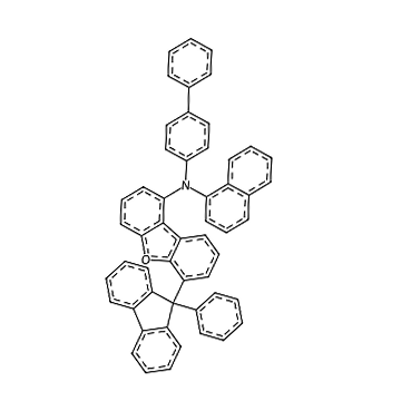 c1ccc(-c2ccc(N(c3cccc4ccccc34)c3cccc4oc5c(C6(c7ccccc7)c7ccccc7-c7ccccc76)cccc5c34)cc2)cc1